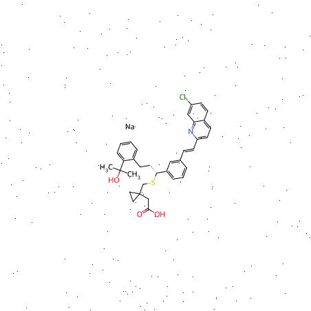 CC(C)(O)c1ccccc1CC[C@@H](SCC1(CC(=O)O)CC1)c1cccc(C=Cc2ccc3ccc(Cl)cc3n2)c1.[Na]